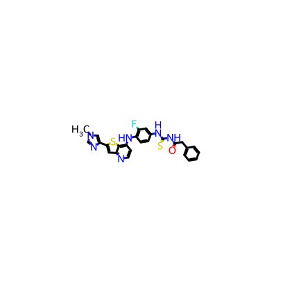 Cn1cnc(-c2cc3nccc(Nc4ccc(NC(=S)NC(=O)Cc5ccccc5)cc4F)c3s2)c1